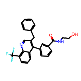 O=C(NCCO)c1cccc(-c2c(Cc3ccccc3)cnc3c(C(F)(F)F)cccc23)c1